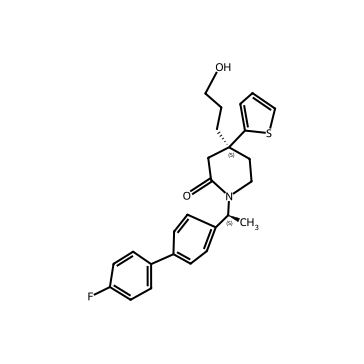 C[C@@H](c1ccc(-c2ccc(F)cc2)cc1)N1CC[C@](CCCO)(c2cccs2)CC1=O